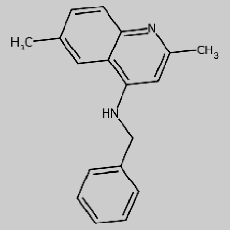 Cc1ccc2nc(C)cc(NCc3ccccc3)c2c1